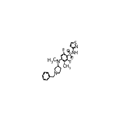 Cc1c(N(C)C2CCN(Cc3ccccc3)C2)cc(F)c(S(=O)(=O)Nc2ccsn2)c1F